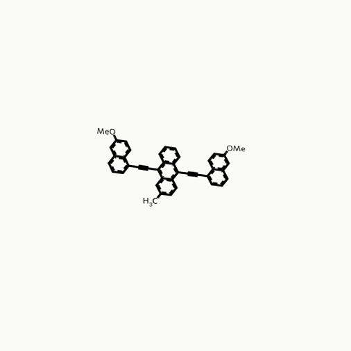 COc1ccc2c(C#Cc3c4ccccc4c(C#Cc4cccc5cc(OC)ccc45)c4cc(C)ccc34)cccc2c1